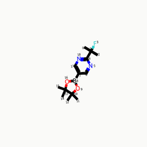 CC(C)(F)c1ncc(B2OC(C)(C)C(C)(C)O2)cn1